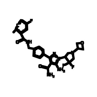 Cc1ccc(F)cc1C(=O)NCc1ccc(-c2nn(C3CN(C4COC4)CC3(F)F)c(N)c2C(N)=O)cc1